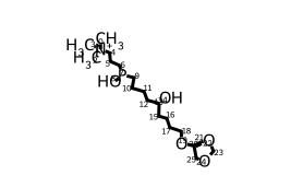 C[N+](C)(C)CCCP(O)CCCCC(O)CCCCOC1=COCOC1